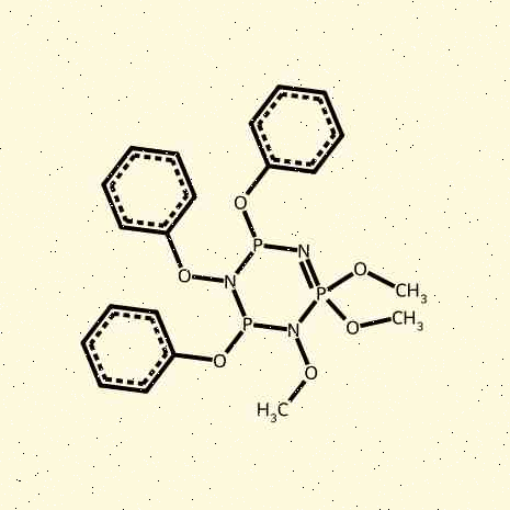 CON1P(Oc2ccccc2)N(Oc2ccccc2)P(Oc2ccccc2)N=P1(OC)OC